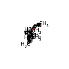 Cc1ccc(-c2ccc(C[C@H](N)[C@@H](O)C[C@H](Cc3ccccc3)NC(=O)[C@@H](N3CCN(Cc4cccc(C)n4)C3=O)C(C)(C)C)cc2)cn1